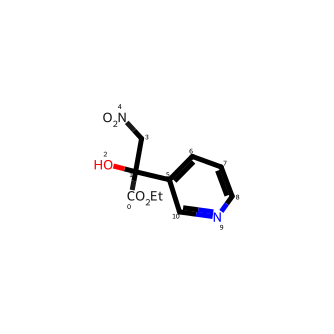 CCOC(=O)C(O)(C[N+](=O)[O-])c1cccnc1